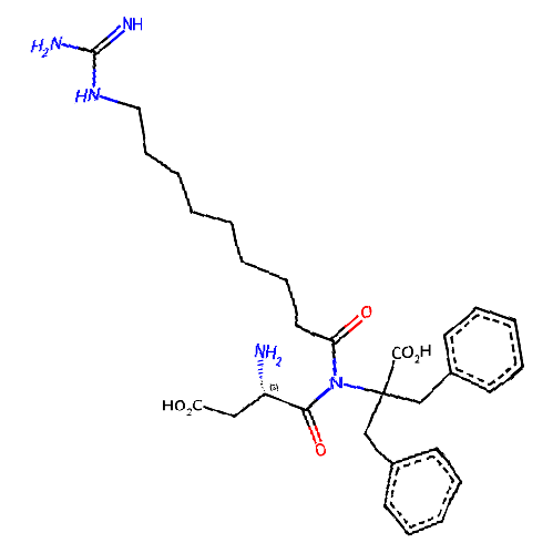 N=C(N)NCCCCCCCCC(=O)N(C(=O)[C@@H](N)CC(=O)O)C(Cc1ccccc1)(Cc1ccccc1)C(=O)O